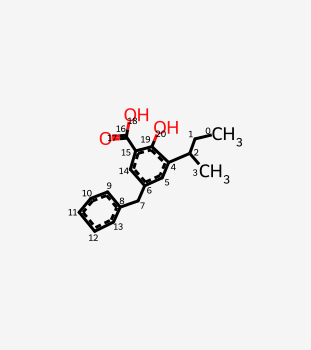 CCC(C)c1cc(Cc2ccccc2)cc(C(=O)O)c1O